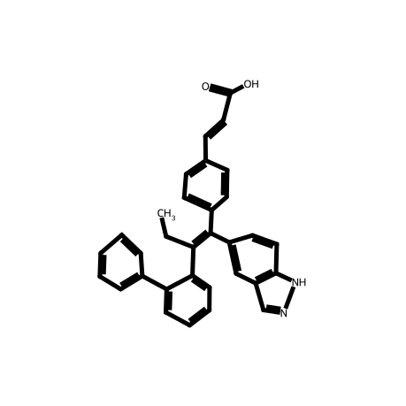 CCC(=C(c1ccc(C=CC(=O)O)cc1)c1ccc2[nH]ncc2c1)c1ccccc1-c1ccccc1